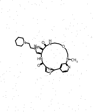 CN1CCOCCNC(=O)C(=N)/C(=C\NCCN2CCCCC2)NC(=O)c2csc(n2)-c2ccnc1c2